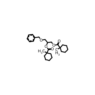 CC1(C(=O)OCC(COCc2ccccc2)OC(=O)C2(C)CCCCC2)CCCCC1